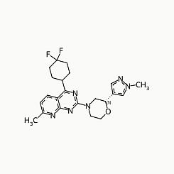 Cc1ccc2c(C3CCC(F)(F)CC3)nc(N3CCO[C@@H](c4cnn(C)c4)C3)nc2n1